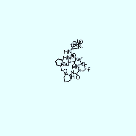 CCCN(C(=O)[C@@H](NC(=O)N[C@H](CN(C)S(C)(=O)=O)C(C)(C)C)C(C)(C)C)[C@@H](C)C(=O)N[C@@H](CC(F)F)C(=O)N[C@H]1CCCC[C@@H]1OCc1ccccc1